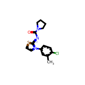 Cc1cc(-n2ccs/c2=N\C(=O)N2CCCC2)ccc1Cl